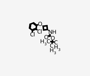 CC(C)(C)OC(=O)N[C@H]1C[C@H](Oc2cccc(Cl)c2Cl)C1